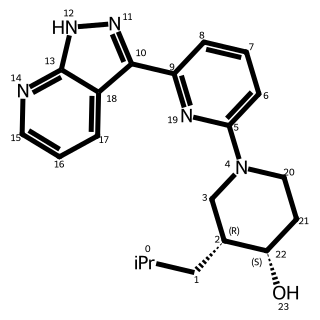 CC(C)C[C@@H]1CN(c2cccc(-c3n[nH]c4ncccc34)n2)CC[C@@H]1O